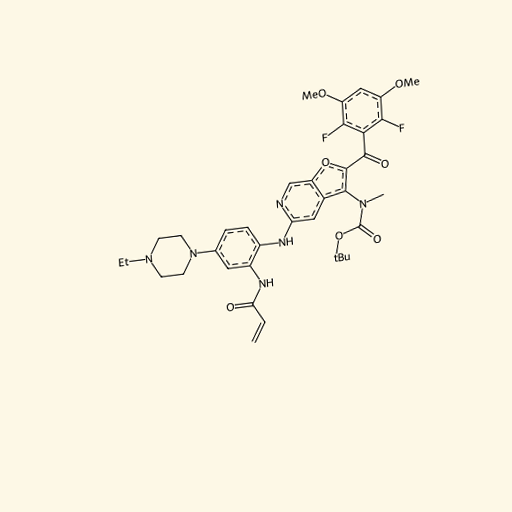 C=CC(=O)Nc1cc(N2CCN(CC)CC2)ccc1Nc1cc2c(N(C)C(=O)OC(C)(C)C)c(C(=O)c3c(F)c(OC)cc(OC)c3F)oc2cn1